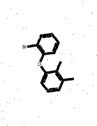 Cc1cccc(Oc2ccc[c]c2Br)c1C